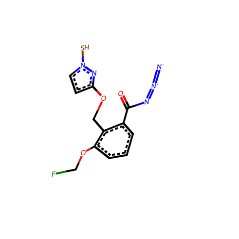 [N-]=[N+]=NC(=O)c1cccc(OCF)c1COc1ccn(S)n1